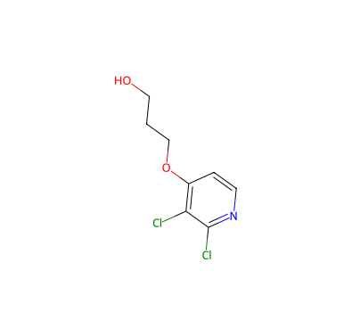 OCCCOc1ccnc(Cl)c1Cl